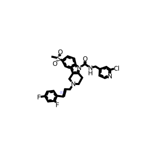 CS(=O)(=O)c1ccc2c(c1)c1c(n2C(=O)NCc2ccnc(Cl)c2)CCN(C/C=C/c2ccc(F)cc2F)C1